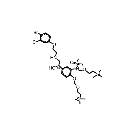 C[Si](C)(C)CCOCOc1ccc([C@@H](O)CNCCOc2ccc(Br)c(Cl)c2)cc1N(COCC[Si](C)(C)C)S(C)(=O)=O